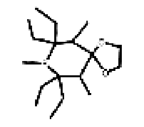 CCC1(CC)C(C)C2(OCCO2)C(C)C(CC)(CC)P1C